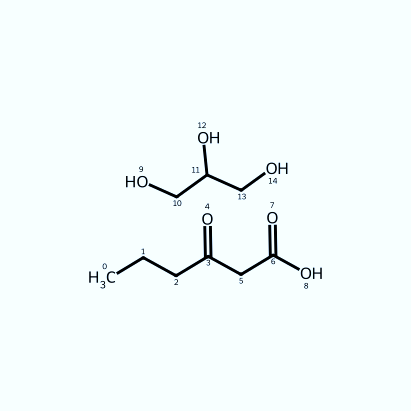 CCCC(=O)CC(=O)O.OCC(O)CO